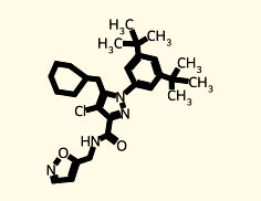 CC(C)(C)c1cc(-n2nc(C(=O)NCc3ccno3)c(Cl)c2CC2CCCCC2)cc(C(C)(C)C)c1